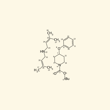 CC(C)(C)OC(=O)N1CCC(Oc2ccccc2)CC1.CC(C)=CCNCC=C(C)C